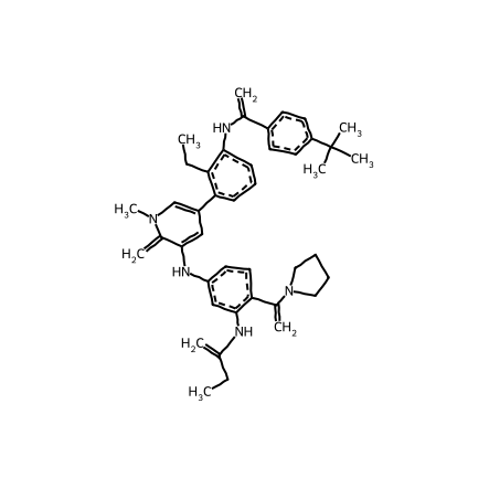 C=C(CC)Nc1cc(NC2=CC(c3cccc(NC(=C)c4ccc(C(C)(C)C)cc4)c3CC)=CN(C)C2=C)ccc1C(=C)N1CCCC1